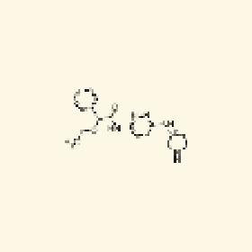 CCOC(C(=O)Nc1ccc(N[C@@H]2CCNC2)nn1)c1ccccc1